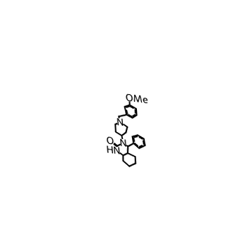 COc1cccc(CN2CCC(N3C(=O)NC4CCCCC4C3c3ccccc3)CC2)c1